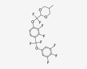 CC1COC(C(F)(F)Oc2ccc(C(F)(F)Oc3cc(F)c(F)c(F)c3)c(F)c2F)OC1